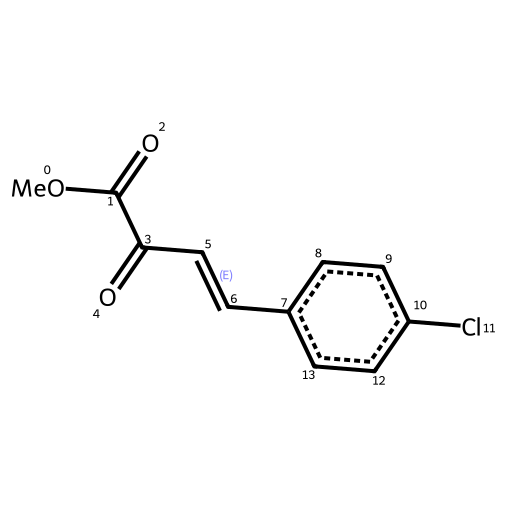 COC(=O)C(=O)/C=C/c1ccc(Cl)cc1